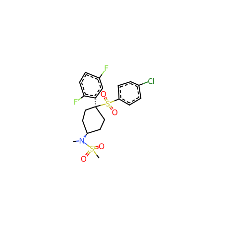 CN([C@H]1CC[C@@](c2cc(F)ccc2F)(S(=O)(=O)c2ccc(Cl)cc2)CC1)S(C)(=O)=O